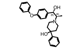 C[C@H]([C@H](O)c1ccc(Oc2ccccc2)cc1)N1CCC(O)(c2ccccc2)CC1